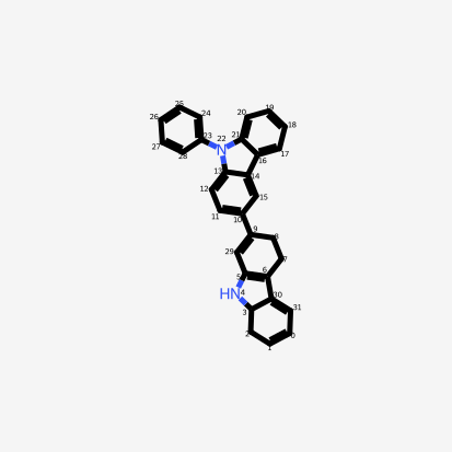 C1=CCC2NC3=C(CCC(c4ccc5c(c4)c4ccccc4n5-c4ccccc4)=C3)C2=C1